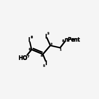 CCCCCCC(I)C(I)=C(O)I